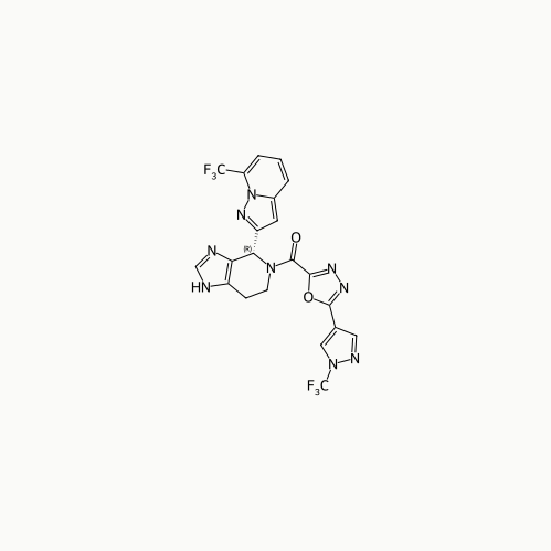 O=C(c1nnc(-c2cnn(C(F)(F)F)c2)o1)N1CCc2[nH]cnc2[C@@H]1c1cc2cccc(C(F)(F)F)n2n1